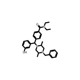 CCN(CC)C(=O)c1ccc(C(c2cccc(O)c2)N2CC(C)N(Cc3ccccc3)CC2C)cc1